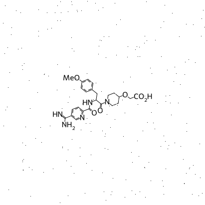 COc1ccc(CC(NC(=O)c2ccc(C(=N)N)cn2)C(=O)N2CCC(OCC(=O)O)CC2)cc1